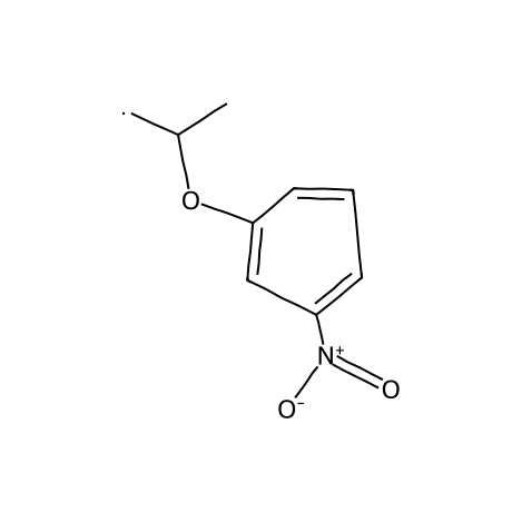 [CH2]C(C)Oc1cccc([N+](=O)[O-])c1